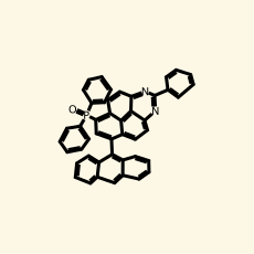 O=P(c1ccccc1)(c1ccccc1)c1cc(-c2c3ccccc3cc3ccccc23)c2ccc3nc(-c4ccccc4)nc4ccc1c2c34